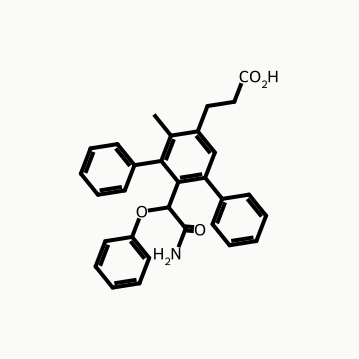 Cc1c(CCC(=O)O)cc(-c2ccccc2)c(C(Oc2ccccc2)C(N)=O)c1-c1ccccc1